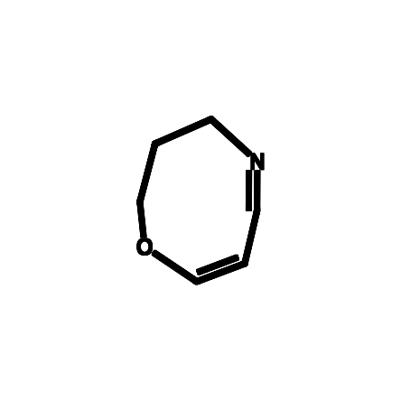 C1=COCCCN=C1